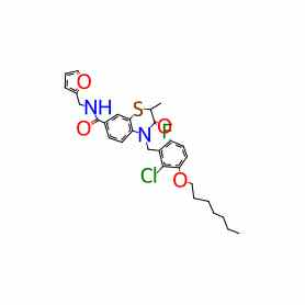 CCCCCCCOc1ccc(F)c(CN2C(=O)C(C)Sc3cc(C(=O)NCc4ccco4)ccc32)c1Cl